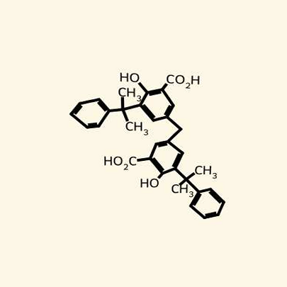 CC(C)(c1ccccc1)c1cc(Cc2cc(C(=O)O)c(O)c(C(C)(C)c3ccccc3)c2)cc(C(=O)O)c1O